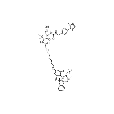 Cc1ncsc1-c1ccc(CNC(=O)[C@@H]2C[C@@H](O)CN2C(=O)C(NC(=O)COCCCCCCOc2cc(F)c([C@@H]3c4[nH]c5ccccc5c4C[C@@H](C)N3CC(C)(C)F)c(F)c2)C(C)(C)C)cc1